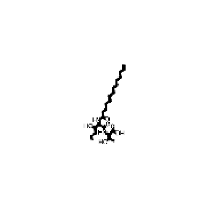 CCCCCCCCCCCCCC(=O)NC(C(=O)NC(C(=O)O)C(C)O)=C(O)CCC